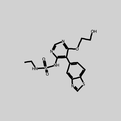 CCNS(=O)(=O)Nc1ncnc(OCCO)c1-c1ccc2scnc2c1